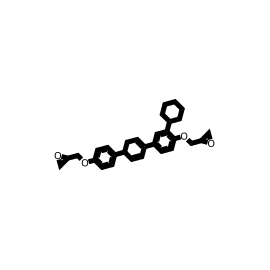 C1=CC(c2ccc(OCC3CO3)cc2)CC=C1c1ccc(OCC2CO2)c(C2CCCCC2)c1